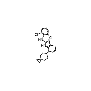 Clc1cccc(Cl)c1Nc1nc2c([nH]1)N(C1CCC3(CC1)CC3)C=CC2